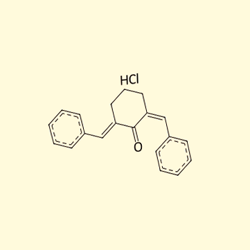 Cl.O=C1C(=Cc2ccccc2)CCCC1=Cc1ccccc1